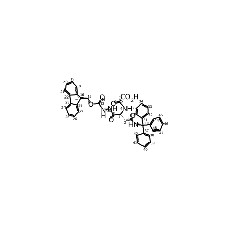 O=C(C[C@@H](NC(=O)C(=O)O)C(=O)NNC(=O)OCC1c2ccccc2-c2ccccc21)NC(c1ccccc1)(c1ccccc1)c1ccccc1